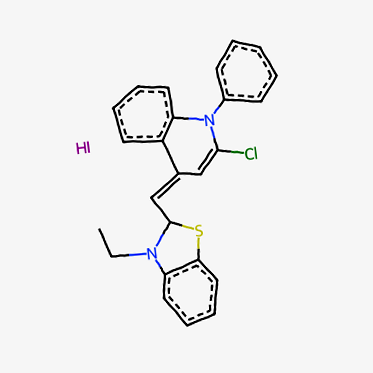 CCN1c2ccccc2SC1C=C1C=C(Cl)N(c2ccccc2)c2ccccc21.I